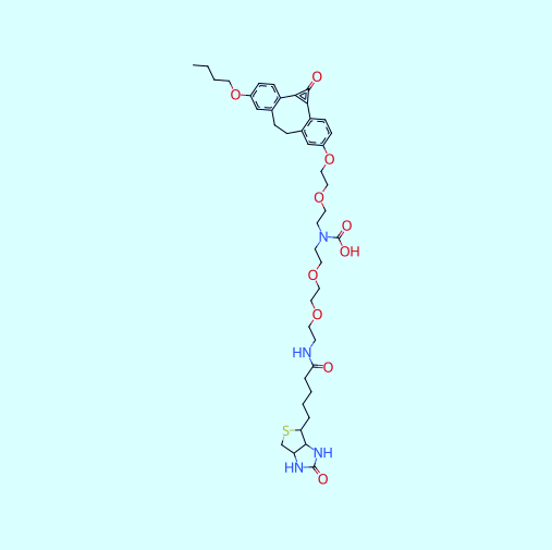 CCCCOc1ccc2c(c1)CCc1cc(OCCOCCN(CCOCCOCCNC(=O)CCCCC3SCC4NC(=O)NC43)C(=O)O)ccc1-c1c-2c1=O